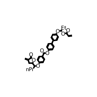 C=CC(=O)OC(CC)Oc1ccc(-c2ccc(OC(=O)c3ccc(OC(CCC)C4CC(=C)C(=O)O4)cc3)cc2)cc1